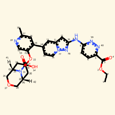 CCOC(=O)c1ccc(Nc2cc3cc(-c4cc(C)ncc4OC4C[C@H]5COC[C@@H](C4)N5C(=O)O)ccn3n2)nn1